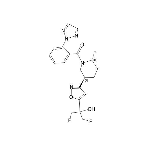 C[C@@H]1CC[C@@H](c2cc(C(O)(CF)CF)on2)CN1C(=O)c1ccccc1-n1nccn1